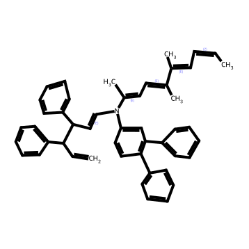 C=CC(c1ccccc1)C(/C=C/N(/C(C)=C/C=C(C)/C(C)=C/C=C\C)c1ccc(-c2ccccc2)c(-c2ccccc2)c1)c1ccccc1